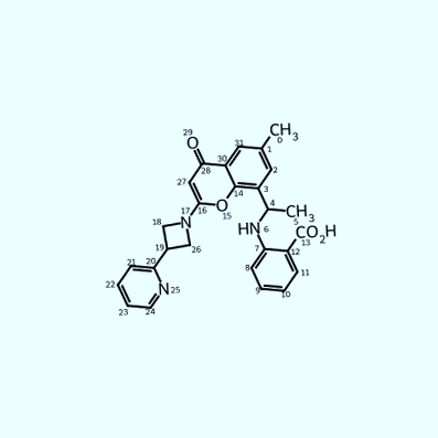 Cc1cc(C(C)Nc2ccccc2C(=O)O)c2oc(N3CC(c4ccccn4)C3)cc(=O)c2c1